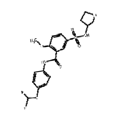 COc1ccc(S(=O)(=O)NC2CCOC2)cc1C(=O)Nc1ccc(OC(F)F)cc1